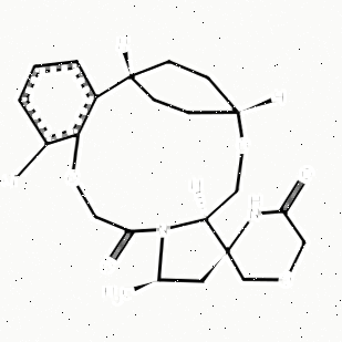 C[C@@H]1C[C@@]2(COCC(=O)N2)[C@@H]2CO[C@H]3CC[C@H](CC3)c3cccc(Cl)c3OCC(=O)N12